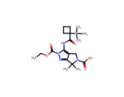 CCOC(=O)n1nc2c(c1NC(=O)C1([Si](C)(C)C)CCC1)CN(C(=O)O)C2(C)C